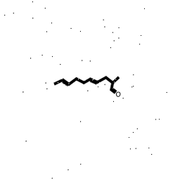 CC=CCCC=CCC(C)C=O